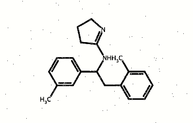 Cc1cccc(C(Cc2ccccc2C)NC2=NCCC2)c1